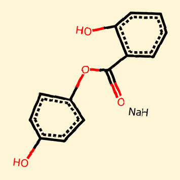 O=C(Oc1ccc(O)cc1)c1ccccc1O.[NaH]